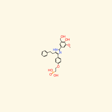 COc1cc(-c2nc(-c3ccc(OCCP(=O)(O)O)cc3)c(CCc3ccccc3)[nH]2)cc(CO)c1O